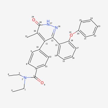 CCN(CC)C(=O)c1ccc(-c2c(-c3ccccc3Oc3ccccc3)n[nH]c(=O)c2C)cc1